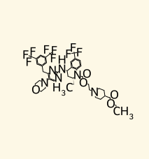 CCOC(=O)C1CCN(CCOC(=O)N2c3ccc(C(F)(F)F)cc3[C@@H](Nc3ncc(N4CCOCC4)c(Cc4cc(C(F)(F)F)cc(C(F)(F)F)c4)n3)C[C@H]2CC)CC1